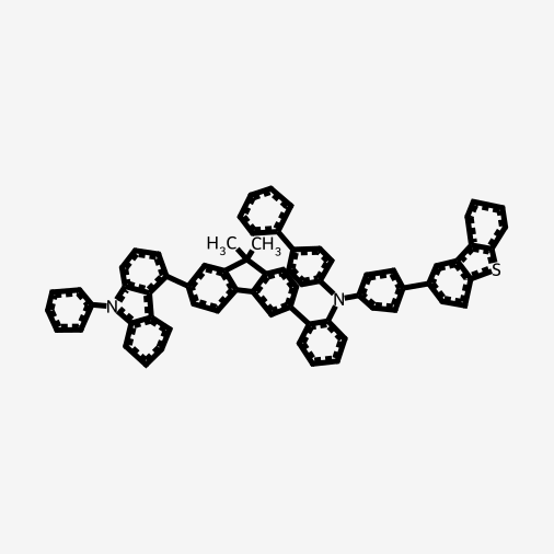 CC1(C)c2ccc(-c3ccccc3N(c3ccc(-c4ccccc4)cc3)c3ccc(-c4ccc5sc6ccccc6c5c4)cc3)cc2-c2ccc(-c3cccc4c3c3ccccc3n4-c3ccccc3)cc21